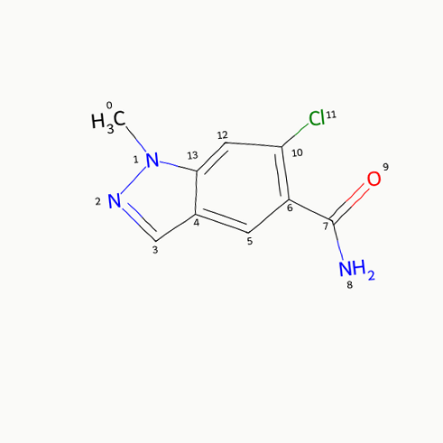 Cn1ncc2cc(C(N)=O)c(Cl)cc21